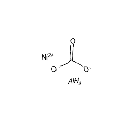 O=C([O-])[O-].[AlH3].[Ni+2]